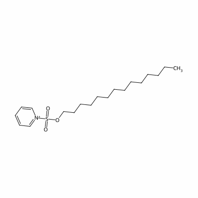 CCCCCCCCCCCCCCOS(=O)(=O)[n+]1ccccc1